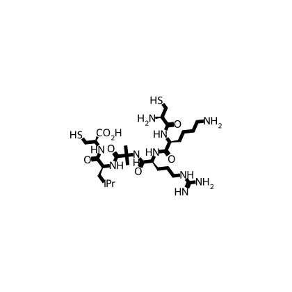 CC(C)C[C@H](NC(=O)C(C)(C)NC(=O)[C@H](CCCNC(=N)N)NC(=O)[C@H](CCCCN)NC(=O)[C@@H](N)CS)C(=O)N[C@@H](CS)C(=O)O